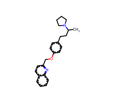 CC(CCc1ccc(OCc2ccc3ccccc3n2)cc1)N1CCCC1